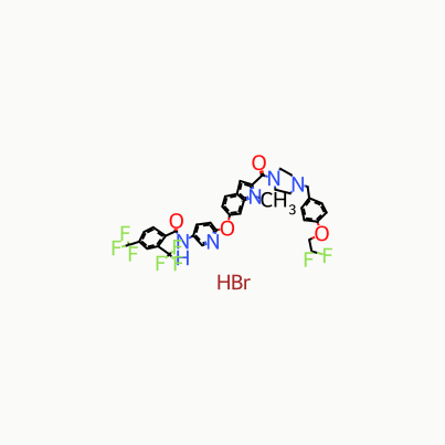 Br.Cn1c(C(=O)N2CCN(Cc3ccc(OCC(F)F)cc3)CC2)cc2ccc(Oc3ccc(NC(=O)c4ccc(C(F)(F)F)cc4C(F)(F)F)cn3)cc21